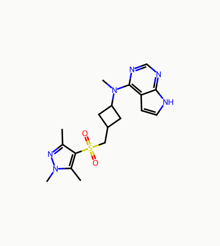 Cc1nn(C)c(C)c1S(=O)(=O)CC1CC(N(C)c2ncnc3[nH]ccc23)C1